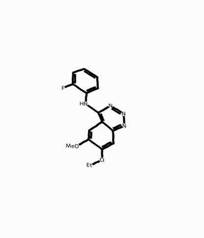 CCOc1cc2nnnc(Nc3ccccc3F)c2cc1OC